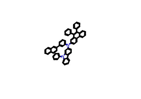 c1ccc(-c2c(-c3ccccc3)c3cc(N(c4cccc(-c5ccc6ccccc6c5)c4)c4ccc5c6ccccc6n(-c6ccccc6)c5c4)ccc3c3ccccc23)cc1